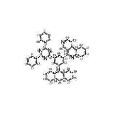 c1ccc(-c2nc(-c3ccccc3)nc(-c3cc(-c4c5ccccc5cc5ccccc45)cc(-c4nc5ccccc5c5ccncc45)c3)n2)cc1